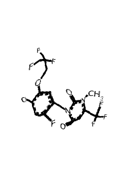 Cn1c(C(F)(F)F)cc(=O)n(-c2cc(OCC(F)(F)F)c(Cl)cc2F)c1=O